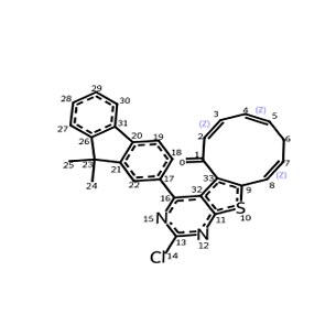 C=C1/C=C\C=C/C/C=C\c2sc3nc(Cl)nc(-c4ccc5c(c4)C(C)(C)c4ccccc4-5)c3c21